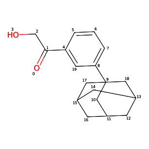 O=C(CO)c1cccc(C23CC4CC(CC(C4)C2)C3)c1